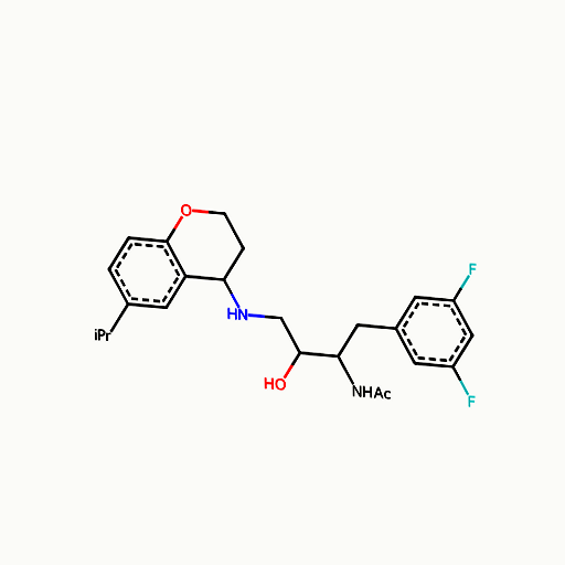 CC(=O)NC(Cc1cc(F)cc(F)c1)C(O)CNC1CCOc2ccc(C(C)C)cc21